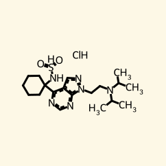 CC(C)N(CCn1ncc2c(C3(N[SH](=O)=O)CCCCC3)ncnc21)C(C)C.Cl